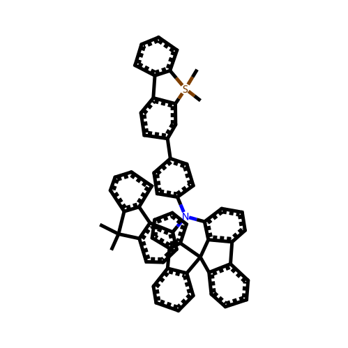 CC1(C)c2ccccc2-c2c(N(c3ccc(-c4ccc5c(c4)S(C)(C)c4ccccc4-5)cc3)c3cccc4c3C3(c5ccccc5-c5ccccc53)c3ccccc3-4)cccc21